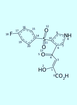 O=C(O)C(O)=CC(=O)c1c[nH]cc1S(=O)(=O)c1ccc(F)cc1